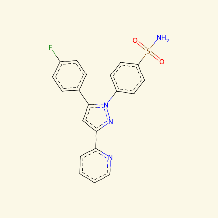 NS(=O)(=O)c1ccc(-n2nc(-c3ccccn3)cc2-c2ccc(F)cc2)cc1